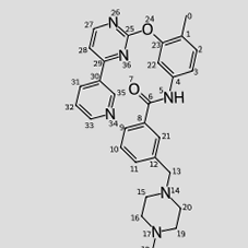 Cc1ccc(NC(=O)c2cccc(CN3CCN(C)CC3)c2)cc1Oc1nccc(-c2cccnc2)n1